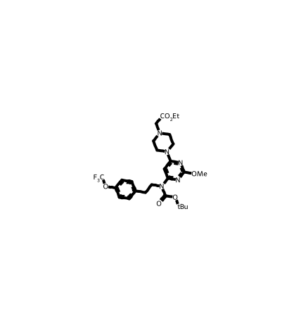 CCOC(=O)CN1CCN(c2cc(N(CCc3ccc(OC(F)(F)F)cc3)C(=O)OC(C)(C)C)nc(OC)n2)CC1